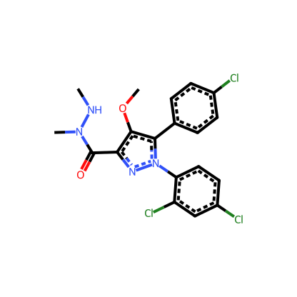 CNN(C)C(=O)c1nn(-c2ccc(Cl)cc2Cl)c(-c2ccc(Cl)cc2)c1OC